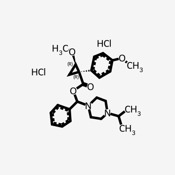 COc1ccc([C@]2(C(=O)OC(c3ccccc3)N3CCN(C(C)C)CC3)C[C@H]2OC)cc1.Cl.Cl